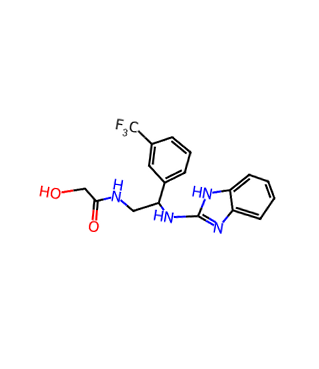 O=C(CO)NCC(Nc1nc2ccccc2[nH]1)c1cccc(C(F)(F)F)c1